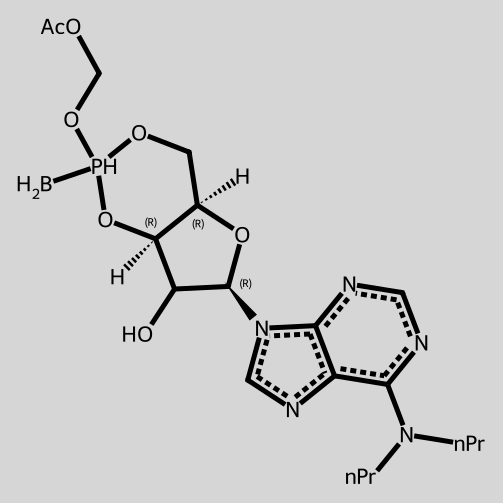 B[PH]1(OCOC(C)=O)OC[C@H]2O[C@@H](n3cnc4c(N(CCC)CCC)ncnc43)C(O)[C@H]2O1